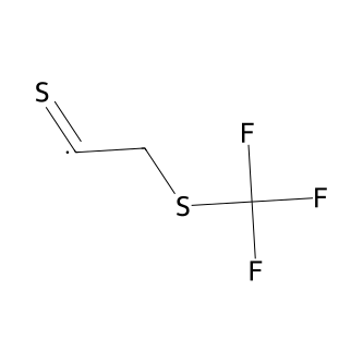 FC(F)(F)SC[C]=S